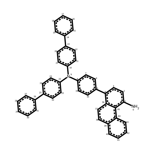 Nc1ccc(-c2ccc(N(c3ccc(-c4ccccc4)cc3)c3ccc(-c4ccccc4)cc3)cc2)c2ccc3ccccc3c12